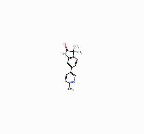 Cc1ccc(-c2ccc3c(c2)NC(=O)C3(C)C)cn1